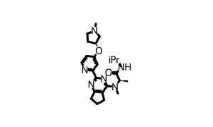 CC(C)NC(=O)[C@@H](C)N(C)c1nc(-c2cc(O[C@@H]3CCN(C)C3)ccn2)nc2c1CCC2